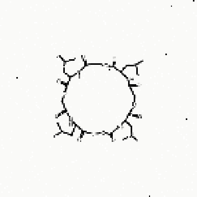 CC(C)CC1NC(=O)COC(=O)C(CC(C)C)NC(=O)COC(=O)C(CC(C)C)NC(=O)COC(=O)C(CC(C)C)NC(=O)COC1=O